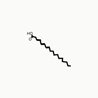 CCCCCCCCCCC=CC=CC=CCC(=O)O